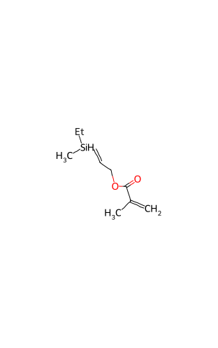 C=C(C)C(=O)OCC=C[SiH](C)CC